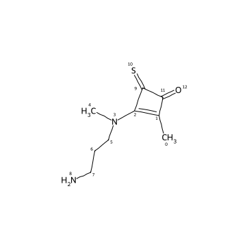 Cc1c(N(C)CCCN)c(=S)c1=O